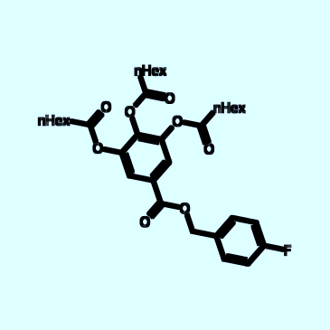 CCCCCCC(=O)Oc1cc(C(=O)OCc2ccc(F)cc2)cc(OC(=O)CCCCCC)c1OC(=O)CCCCCC